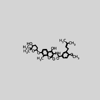 COc1ccc(C(=O)Nc2c(O)c3ccc(OC4CCC(O)C(C)(C)O4)c(C)c3oc2=O)cc1CC=C(C)C